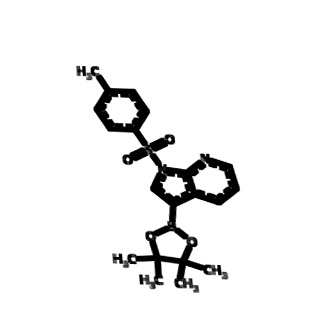 Cc1ccc(S(=O)(=O)n2cc(B3OC(C)(C)C(C)(C)O3)c3cccnc32)cc1